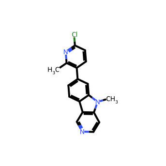 Cc1nc(Cl)ccc1-c1ccc2c3cnccc3n(C)c2c1